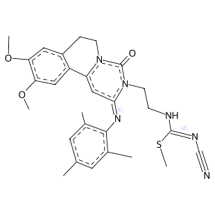 COc1cc2c(cc1OC)-c1c/c(=N\c3c(C)cc(C)cc3C)n(CCN/C(=N/C#N)SC)c(=O)n1CC2